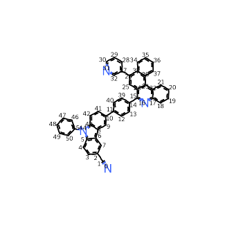 N#Cc1ccc2c(c1)c1cc(-c3ccc(-c4nc5ccccc5c5c4cc(-c4cccnc4)c4ccccc45)cc3)ccc1n2-c1ccccc1